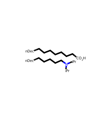 CCCCCCCCCCCCCCCCCC(=O)O.CCCCCCCCCCCCCCCN(C(C)C)C(C)C